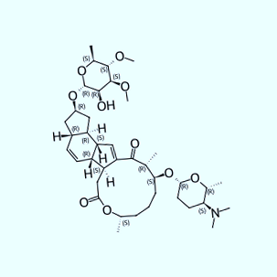 CO[C@@H]1[C@@H](OC)[C@@H](O)[C@H](O[C@H]2C[C@H]3[C@@H]4C=C5C(=O)[C@H](C)[C@@H](O[C@H]6CC[C@H](N(C)C)[C@@H](C)O6)CCC[C@H](C)OC(=O)C[C@H]5[C@@H]4C=C[C@@H]3C2)O[C@H]1C